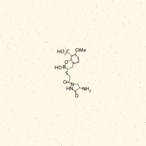 COc1ccc2c(c1C(=O)O)OB(O)C(SCC(=O)N1CC(N)C(=O)N1)C2